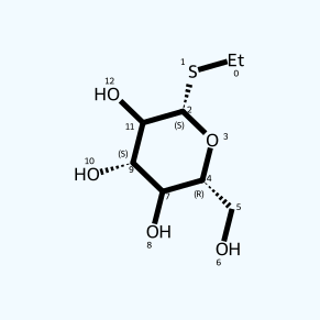 CCS[C@@H]1O[C@H](CO)C(O)[C@H](O)C1O